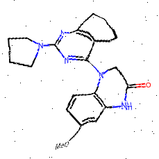 COc1ccc2c(c1)NC(=O)CN2c1nc(N2CCCC2)nc2c1CCC2